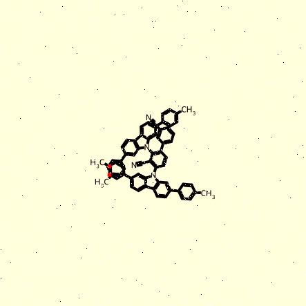 Cc1ccc(-c2ccc3c4ccc(-c5ccc(C)cc5)cc4n(-c4ccc(-c5cccc(C#N)c5)c(-n5c6cc(-c7ccc(C)cc7)ccc6c6ccc(-c7ccc(C)cc7)cc65)c4C#N)c3c2)cc1